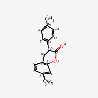 COc1ccc2c(c1)OC(=O)[C@H](c1ccc(C)cc1)C2